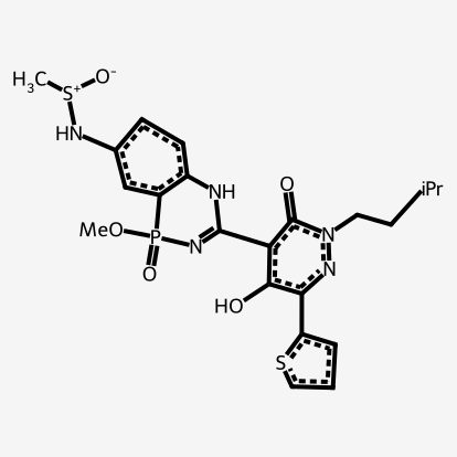 COP1(=O)N=C(c2c(O)c(-c3cccs3)nn(CCC(C)C)c2=O)Nc2ccc(N[S+](C)[O-])cc21